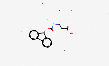 CC(C)(C)OC(=O)C[C@H](NC(=O)OC1c2ccccc2-c2ccccc21)C(=O)O